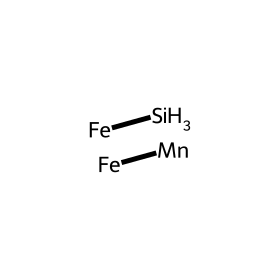 [Mn][Fe].[SiH3][Fe]